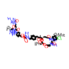 COc1ccc(C[C@H]2NC(=O)/C=C/C[C@@H]([C@H](C)[C@H](O)Cc3ccc(CNC(=O)OCc4ccc(NC(=O)[C@H](CCCNC(N)=O)NC(=O)C(N)C(C)C)cc4)cc3)OC(=O)[C@H](CC(C)C)OC(=O)C(C)(C)CNC2=O)cc1Cl